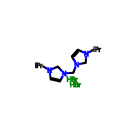 Br.Br.CC(C)N1C=CN(CN2C=CN(C(C)C)C2)C1